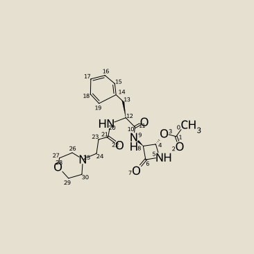 CC(=O)O[C@@H]1NC(=O)[C@H]1NC(=O)[C@H](Cc1ccccc1)NC(=O)CCN1CCOCC1